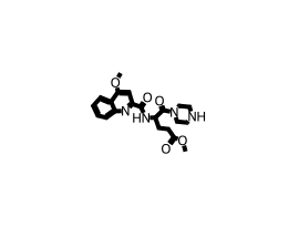 COC(=O)CCC(NC(=O)c1cc(OC)c2ccccc2n1)C(=O)N1CCNCC1